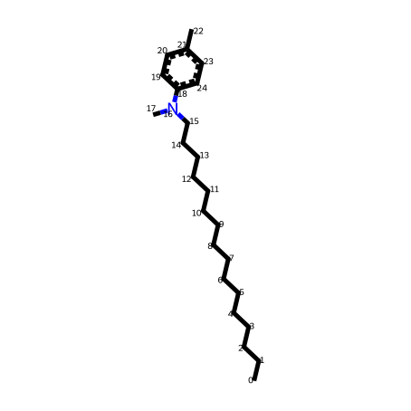 CCCCCCCCCCCCCCCCN(C)c1ccc(C)cc1